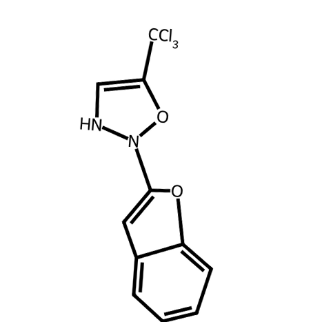 ClC(Cl)(Cl)C1=CNN(c2cc3ccccc3o2)O1